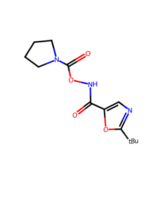 CC(C)(C)c1ncc(C(=O)NOC(=O)N2CCCC2)o1